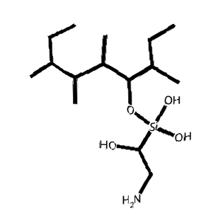 CCC(C)C(C)C(C)C(O[Si](O)(O)C(O)CN)C(C)CC